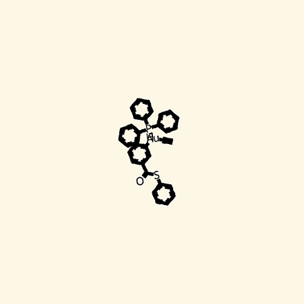 C#[C][Au]([c]1cccc(C(=O)Sc2ccccc2)c1)[PH](c1ccccc1)(c1ccccc1)c1ccccc1